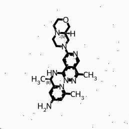 Cc1cc(N)cc([C@@H](C)Nc2nnc(C)c3cnc(N4CCN5CCOC[C@@H]5C4)cc23)n1